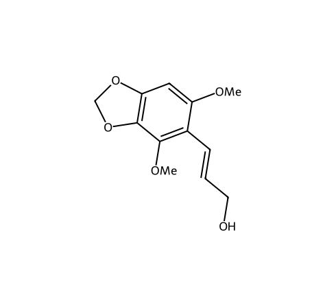 COc1cc2c(c(OC)c1C=CCO)OCO2